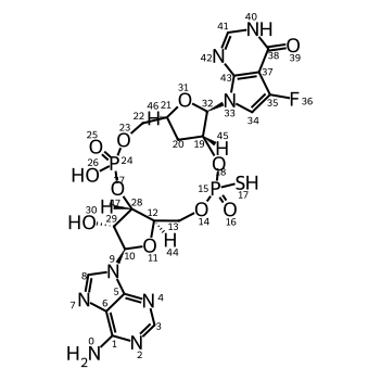 Nc1ncnc2c1ncn2[C@@H]1O[C@@H]2COP(=O)(S)O[C@@H]3C[C@@H](COP(=O)(O)O[C@H]2[C@H]1O)O[C@H]3n1cc(F)c2c(=O)[nH]cnc21